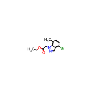 CCOC(=O)Cn1ncc2c(Br)ccc(C)c21